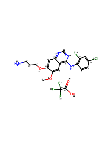 COc1cc2c(Nc3ccc(Cl)cc3F)ncnc2cc1OCCCN.O=C(O)C(F)(F)F